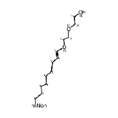 CCCCCCCCCCCCCCCCC=COCCOCCO